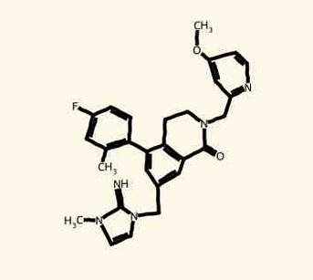 COc1ccnc(CN2CCc3c(cc(Cn4ccn(C)c4=N)cc3-c3ccc(F)cc3C)C2=O)c1